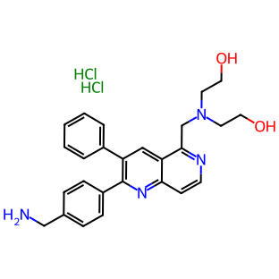 Cl.Cl.NCc1ccc(-c2nc3ccnc(CN(CCO)CCO)c3cc2-c2ccccc2)cc1